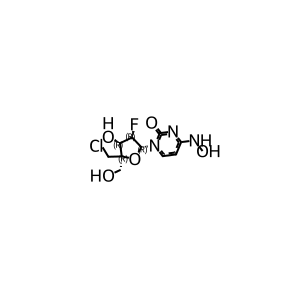 O=c1nc(NO)ccn1[C@@H]1O[C@@](CO)(CCl)[C@@H](O)[C@H]1F